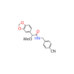 COC(C(=O)NCc1ccc(C#N)cc1)c1ccc2c(c1)OCO2